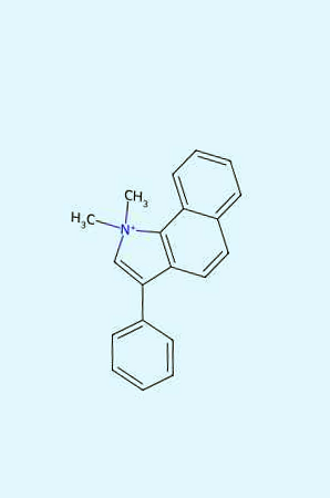 C[N+]1(C)C=C(c2ccccc2)c2ccc3ccccc3c21